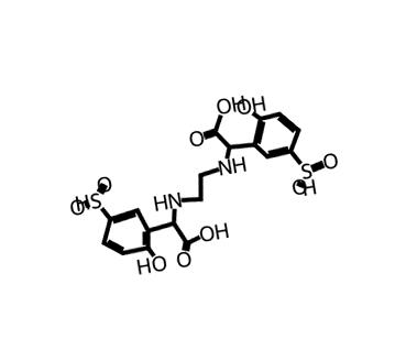 O=C(O)C(NCCNC(C(=O)O)c1cc([SH](=O)=O)ccc1O)c1cc([SH](=O)=O)ccc1O